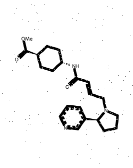 COC(=O)[C@H]1CC[C@H](NC(=O)/C=C/CN2CCC[C@H]2c2cccnc2)CC1